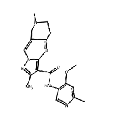 COc1cc(C)ncc1NC(=O)c1c(N)nn2cc3c(nc12)CCN(C)C3